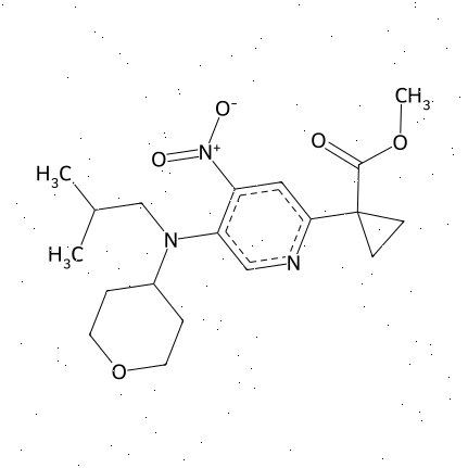 COC(=O)C1(c2cc([N+](=O)[O-])c(N(CC(C)C)C3CCOCC3)cn2)CC1